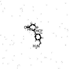 Cl.NCc1ccc(-c2nccc(=O)[nH]2)cc1